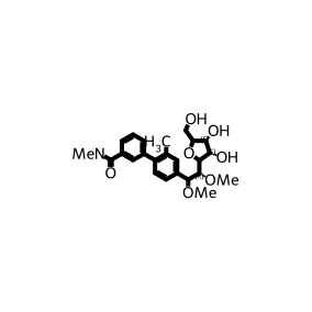 CNC(=O)c1cccc(-c2ccc(C(OC)[C@@H](OC)C3OC(CO)[C@@H](O)[C@@H]3O)cc2C)c1